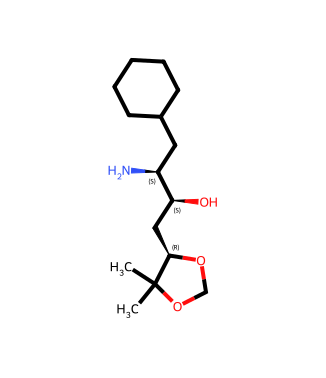 CC1(C)OCO[C@@H]1C[C@H](O)[C@@H](N)CC1CCCCC1